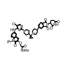 CNC(=O)COc1cc2cc(Nc3nc(N4CCC(C5(N6CCC(c7ccc8c(c7)C(=O)N(C7CCC(=O)NC7=O)C8=O)CC6)CC5)CC4)ncc3Cl)ccc2n(C(C)C)c1=O